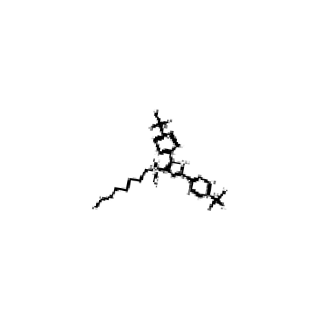 CCCCCCCCS(=O)(=O)c1cc(-c2ccc(C(C)(C)C)cc2)sc1-c1ccc(C(C)(C)C)cc1